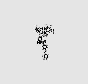 COc1cc(C(=O)N/C(=N\C(=O)OC(C)(C)C)Nc2ccc(C)c(NC(=O)c3ccc(/C=C/c4ccccc4)cc3)c2)cc(C)c1C